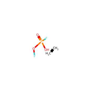 C=C.O=P(O)(F)OF